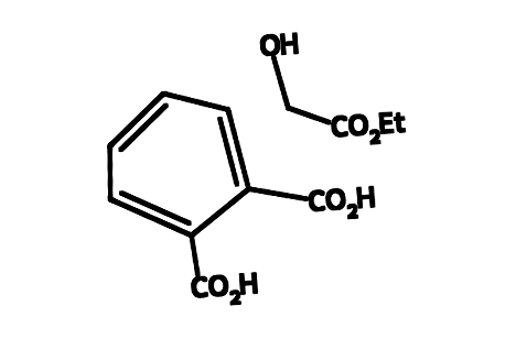 CCOC(=O)CO.O=C(O)c1ccccc1C(=O)O